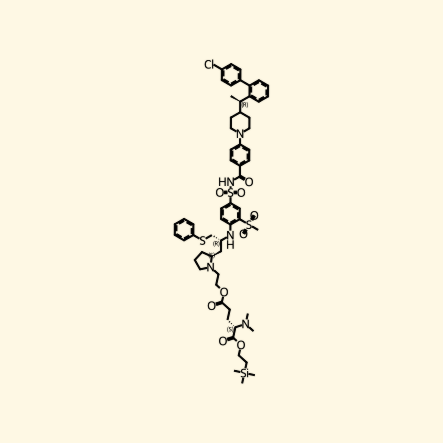 C[C@@H](c1ccccc1-c1ccc(Cl)cc1)C1CCN(c2ccc(C(=O)NS(=O)(=O)c3ccc(N[C@@H](CSc4ccccc4)C[C@@H]4CCCN4CCOC(=O)CC[C@@H](C(=O)OCC[Si](C)(C)C)N(C)C)c(S(C)(=O)=O)c3)cc2)CC1